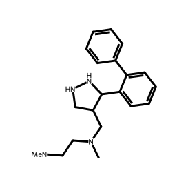 CNCCN(C)CC1CNNC1c1ccccc1-c1ccccc1